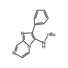 CCCCNc1c(-c2ccccc2)nc2cnccn12